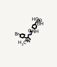 Cn1ncc(/C=C/C(=O)Nc2ccc(CP(=O)(O)O)cc2)c1-c1ccc(Br)cc1